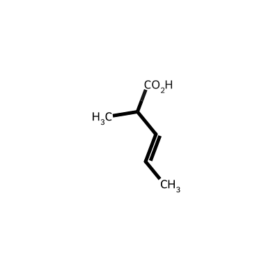 CC=CC(C)C(=O)O